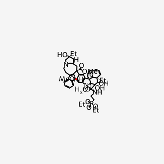 CCOP(=O)(CCNC(=O)[C@@]1(O)[C@H](O)[C@]2(CC)C=CCN3CC[C@@]4(c5cc([C@@]6(C(=O)OC)C[C@H]7CN(CCc8c6[nH]c6ccccc86)C[C@](O)(CC)C7)c(OC)cc5N(C)[C@@H]14)[C@@H]32)OCC